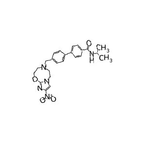 CC(C)NC(=O)c1ccc(-c2ccc(CN3CCOc4nc([N+](=O)[O-])cn4CC3)cc2)cc1